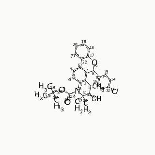 CC1c2c(ccc3c2C(c2ccc(Cl)cc2)Oc2ccccc2-3)N(C(=O)OC(C)(C)C)C(C)(C)C1O